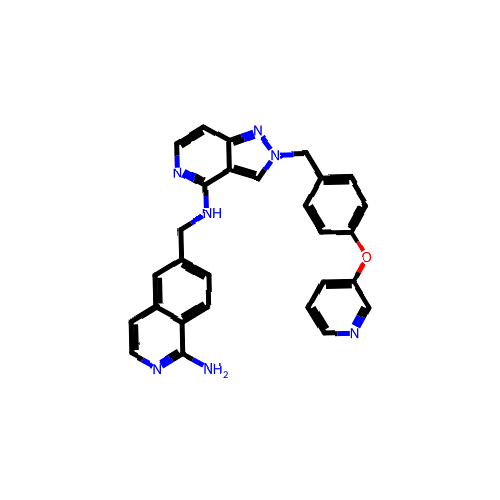 Nc1nccc2cc(CNc3nccc4nn(Cc5ccc(Oc6cccnc6)cc5)cc34)ccc12